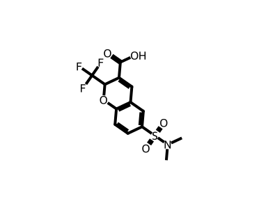 CN(C)S(=O)(=O)c1ccc2c(c1)C=C(C(=O)O)C(C(F)(F)F)O2